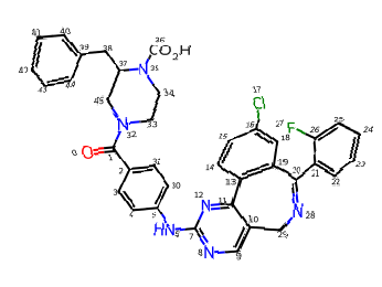 O=C(c1ccc(Nc2ncc3c(n2)-c2ccc(Cl)cc2C(c2ccccc2F)=NC3)cc1)N1CCN(C(=O)O)C(Cc2ccccc2)C1